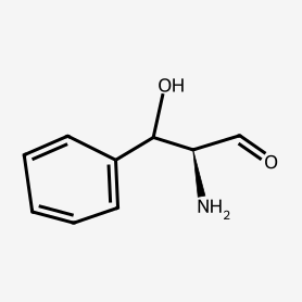 N[C@H](C=O)C(O)c1ccccc1